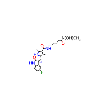 Cc1[nH]c(/C=C2\C(=O)Nc3ccc(F)cc32)c(C)c1C(=O)NCCCCCC(=O)N(C)O